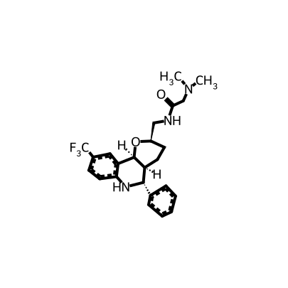 CN(C)CC(=O)NC[C@H]1CC[C@@H]2[C@H](O1)c1cc(C(F)(F)F)ccc1N[C@H]2c1ccccc1